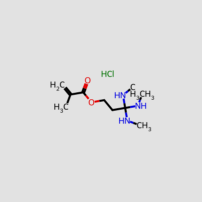 C=C(C)C(=O)OCCC(NC)(NC)NC.Cl